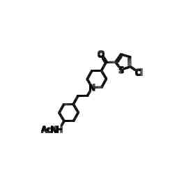 CC(=O)NC1CCC(CCN2CCC(C(=O)c3ccc(Cl)s3)CC2)CC1